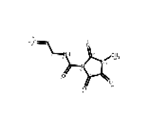 C=CCNC(=O)N1C(=O)C(=O)N(C)C1=O